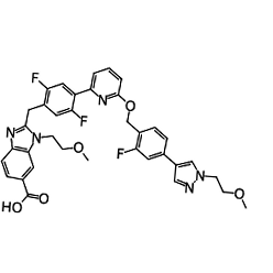 COCCn1cc(-c2ccc(COc3cccc(-c4cc(F)c(Cc5nc6ccc(C(=O)O)cc6n5CCOC)cc4F)n3)c(F)c2)cn1